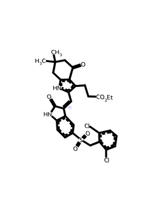 CCOC(=O)CCc1c(/C=C2\C(=O)Nc3ccc(S(=O)(=O)Cc4c(Cl)cccc4Cl)cc32)[nH]c2c1C(=O)CC(C)(C)C2